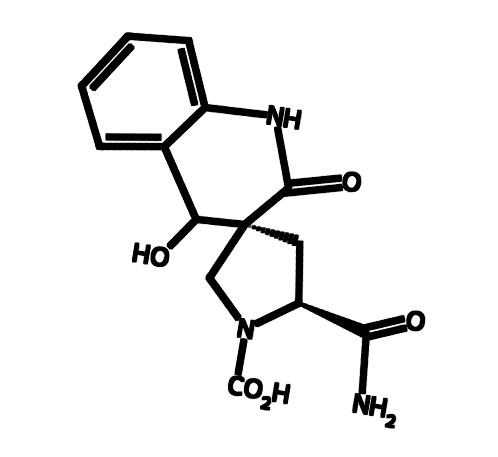 NC(=O)[C@@H]1C[C@@]2(CN1C(=O)O)C(=O)Nc1ccccc1C2O